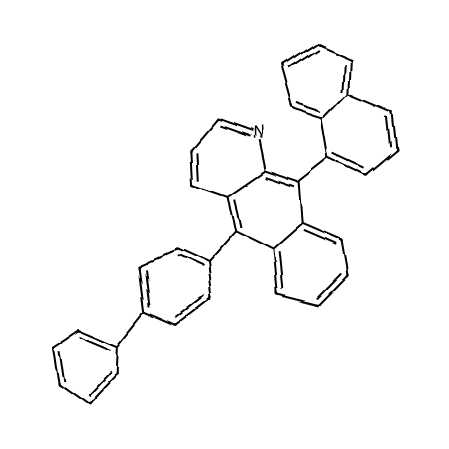 c1ccc(-c2ccc(-c3c4ccccc4c(-c4cccc5ccccc45)c4ncccc34)cc2)cc1